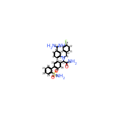 N=C(N)c1cccc(N(Cc2ccc(F)cc2)C(C(N)=O)c2ccc(-c3ccccc3S(N)(=O)=O)cc2)c1